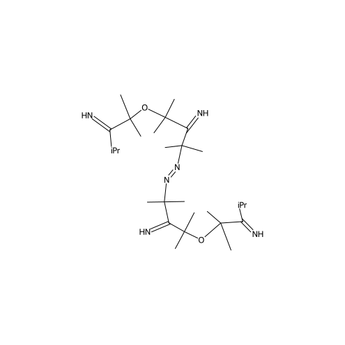 CC(C)C(=N)C(C)(C)OC(C)(C)C(=N)C(C)(C)N=NC(C)(C)C(=N)C(C)(C)OC(C)(C)C(=N)C(C)C